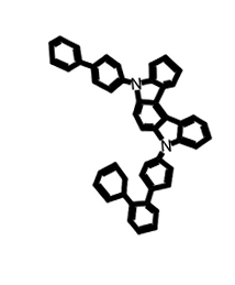 C1=CCC(c2ccccc2-c2ccc(-n3c4ccccc4c4c5c6ccccc6n(-c6ccc(-c7ccccc7)cc6)c5ccc43)cc2)C=C1